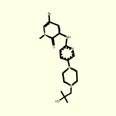 CN1C=C(Br)CC(Nc2ccc(N3CCN(CC(C)(C)O)CC3)cn2)C1=O